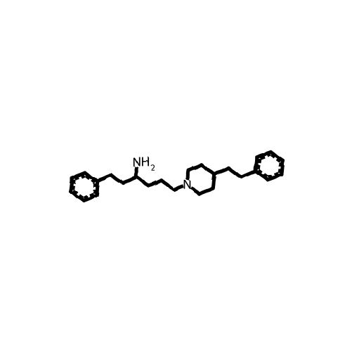 NC(CCCN1CCC(CCc2ccccc2)CC1)CCc1ccccc1